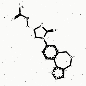 CC(=O)NC[C@H]1CN(c2ccc3c(c2)COCc2cnoc2-3)C(=O)O1